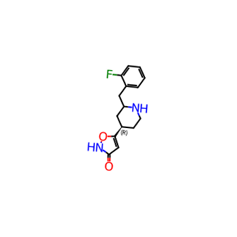 O=c1cc([C@@H]2CCNC(Cc3ccccc3F)C2)o[nH]1